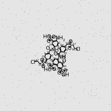 Nc1ccc(NC(=O)C2=CCC(=CS(=O)(=O)CCCl)C=C2)cc1S(=O)(=O)O.O=C(Nc1ccc(S(=O)(=O)O)c2cc(S(=O)(=O)O)cc(O)c12)c1ccc(CS(=O)(=O)CCCl)cc1